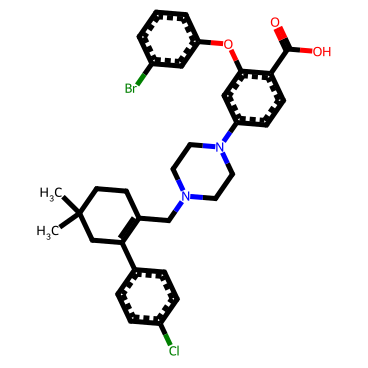 CC1(C)CCC(CN2CCN(c3ccc(C(=O)O)c(Oc4cccc(Br)c4)c3)CC2)=C(c2ccc(Cl)cc2)C1